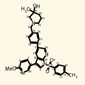 COc1ccc(-c2cn(S(=O)(=O)c3ccc(C)cc3)c3ncc(-c4ccc(CN5CCCC(C)(O)C5)cc4)cc23)cn1